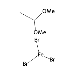 COC(C)OC.[Br][Fe]([Br])[Br]